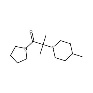 CC1CCN(C(C)(C)C(=O)N2CCCC2)CC1